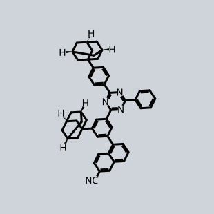 N#Cc1ccc2c(-c3cc(-c4nc(-c5ccccc5)nc(-c5ccc(C67C[C@H]8C[C@@H](C6)C[C@@H](C7)C8)cc5)n4)cc(C45C[C@H]6C[C@@H](C4)C[C@@H](C5)C6)c3)cccc2c1